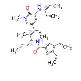 C=C/C=C(NC(=O)c1cc(C=C)c(C=C)s1)\C(C)=C(/C=C)c1cc(N/C(C=C)=C/C)c(=O)n(C)c1